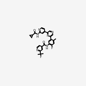 Cc1cc(F)c(NC(=O)c2ccnc(C(C)(C)F)c2)cc1-c1cncc(-c2ccnc(NC(=O)C3CC3)c2)n1